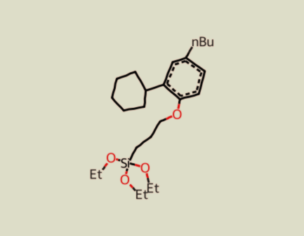 CCCCc1ccc(OCCC[Si](OCC)(OCC)OCC)c(C2CCCCC2)c1